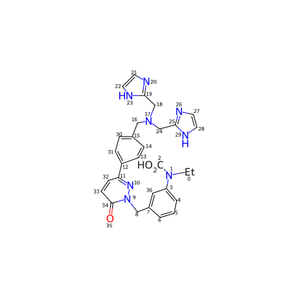 CCN(C(=O)O)c1cccc(Cn2nc(-c3ccc(CN(Cc4ncc[nH]4)Cc4ncc[nH]4)cc3)ccc2=O)c1